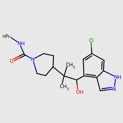 CCCNC(=O)N1CCC(C(C)(C)C(O)c2cc(Cl)cc3[nH]ncc23)CC1